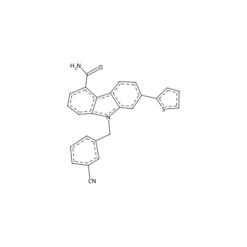 N#Cc1cccc(Cn2c3cc(-c4cccs4)c[c]c3c3c(C(N)=O)cccc32)c1